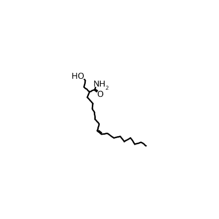 CCCCCCCC/C=C\CCCCCCC(CCO)C(N)=O